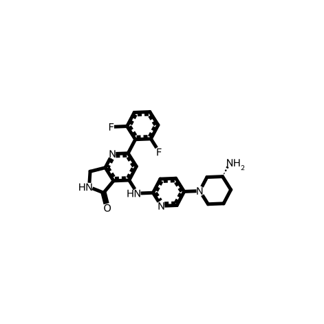 N[C@@H]1CCCN(c2ccc(Nc3cc(-c4c(F)cccc4F)nc4c3C(=O)NC4)nc2)C1